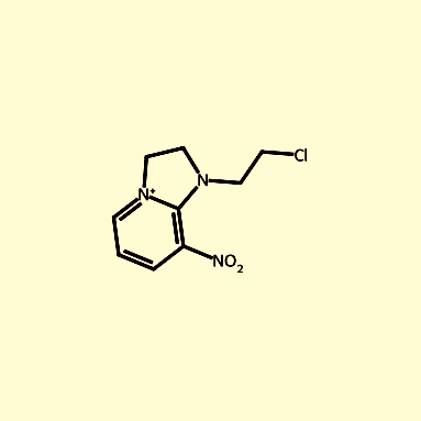 O=[N+]([O-])c1ccc[n+]2c1N(CCCl)CC2